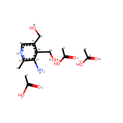 CC(=O)O.CC(=O)O.CC(=O)O.Cc1ncc(CO)c(CO)c1N